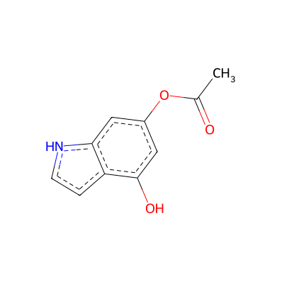 CC(=O)Oc1cc(O)c2cc[nH]c2c1